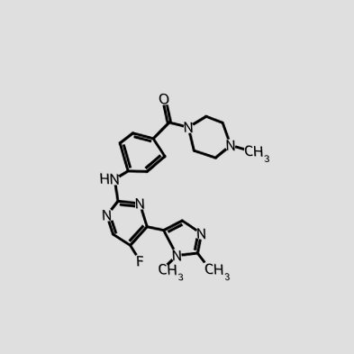 Cc1ncc(-c2nc(Nc3ccc(C(=O)N4CCN(C)CC4)cc3)ncc2F)n1C